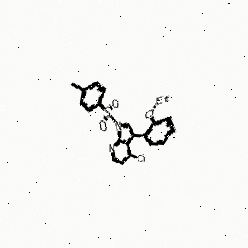 CCOc1ccccc1-c1cn(S(=O)(=O)c2ccc(C)cc2)c2nccc(Cl)c12